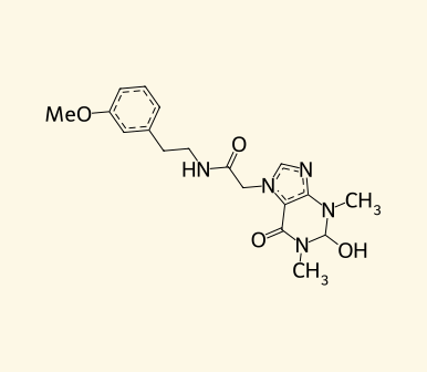 COc1cccc(CCNC(=O)Cn2cnc3c2C(=O)N(C)C(O)N3C)c1